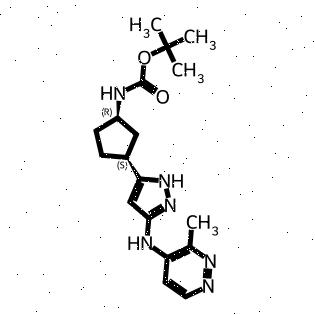 Cc1nnccc1Nc1cc([C@H]2CC[C@@H](NC(=O)OC(C)(C)C)C2)[nH]n1